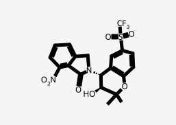 CC1(C)Oc2ccc(S(=O)(=O)C(F)(F)F)cc2[C@@H](N2Cc3cccc([N+](=O)[O-])c3C2=O)[C@@H]1O